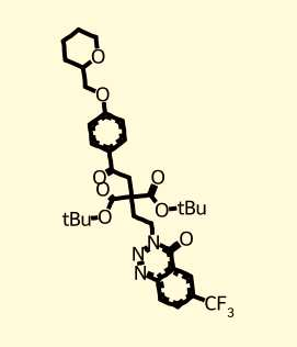 CC(C)(C)OC(=O)C(CCn1nnc2ccc(C(F)(F)F)cc2c1=O)(CC(=O)c1ccc(OCC2CCCCO2)cc1)C(=O)OC(C)(C)C